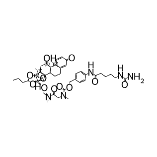 CCCC1O[C@@H]2CC3C4CCC5=CC(=O)C=C[C@]5(C)C4[C@@H](O)C[C@]3(C)[C@]2(C(=O)COCN(C)C(=O)CN(C)C(=O)OCc2ccc(NC(=O)CCCCNC(N)=O)cc2)O1